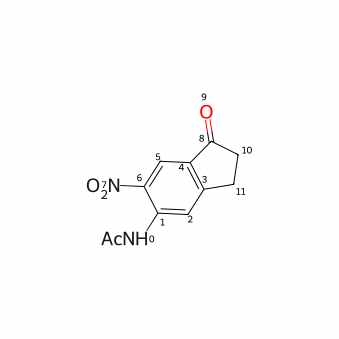 CC(=O)Nc1cc2c(cc1[N+](=O)[O-])C(=O)CC2